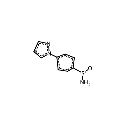 N[S+]([O-])c1ccc(-n2cccn2)cc1